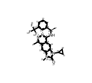 Cc1nnc(N[C@H](C)c2cccc(C(F)(F)F)c2)c2cc3c(cc12)n(C)c(=O)n3C1CC1